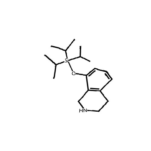 CC(C)[Si](Oc1cccc2c1CNCC2)(C(C)C)C(C)C